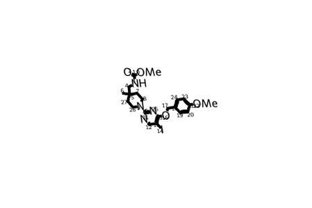 COC(=O)NCC1(C)CCN(c2ncc(I)c(OCc3ccc(OC)cc3)n2)CC1